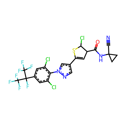 N#CC1(NC(=O)C2C=C(c3cnn(-c4c(Cl)cc(C(F)(C(F)(F)F)C(F)(F)F)cc4Cl)c3)SC2Cl)CC1